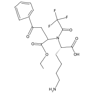 CCOC(=O)C(CC(=O)c1ccccc1)N(C(=O)C(F)(F)F)[C@@H](CCCCN)C(=O)O